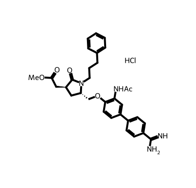 COC(=O)C[C@@H]1C[C@@H](COc2ccc(-c3ccc(C(=N)N)cc3)cc2NC(C)=O)N(CCCc2ccccc2)C1=O.Cl